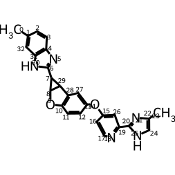 Cc1ccc2nc(C3C4Oc5ccc(Oc6ccnc(-c7nc(C)c[nH]7)c6)cc5C43)[nH]c2c1